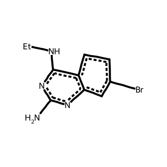 [CH2]CNc1nc(N)nc2cc(Br)ccc12